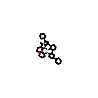 O=c1c2ccccc2n2c3c(cc(-c4ccccc4)n13)-c1cccc3c1B2N(c1ccccc1)c1ccc(-c2ccccc2)cc1-3